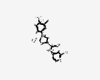 Cc1cc(N2C[C@@H](C(=O)Nc3ccnc(Cl)c3)O[C@@H]2C(F)(F)F)ccc1[N+](=O)[O-]